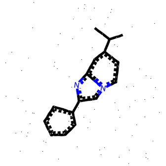 CC(C)c1ccn2cc(-c3ccccc3)nc2c1